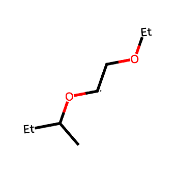 CCOC[CH]OC(C)CC